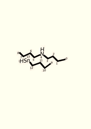 CCCCNCCCC.CCC[CH2][SnH]